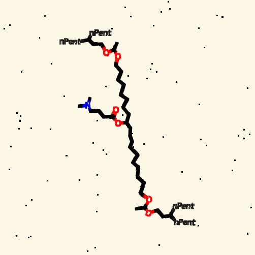 CCCCCC(CCCCC)CCOC(C)OCCCCCCCCCCC(CCCCCCCCOC(C)OCCC(CCCCC)CCCCC)OC(=O)CCCN(C)C